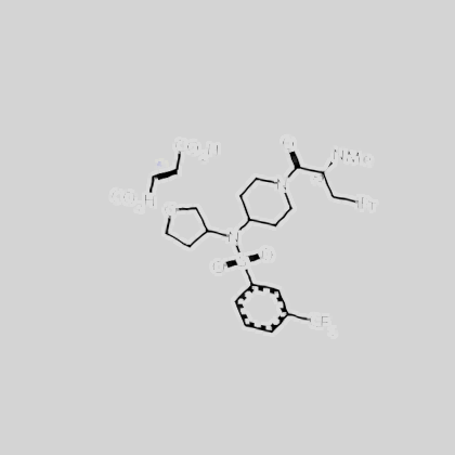 CN[C@@H](CC(C)C)C(=O)N1CCC(N(C2CCOC2)S(=O)(=O)c2cccc(C(F)(F)F)c2)CC1.O=C(O)/C=C/C(=O)O